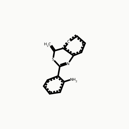 C=C1SC(c2ccccc2N)=Nc2ccccc21